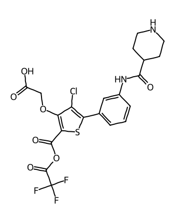 O=C(O)COc1c(C(=O)OC(=O)C(F)(F)F)sc(-c2cccc(NC(=O)C3CCNCC3)c2)c1Cl